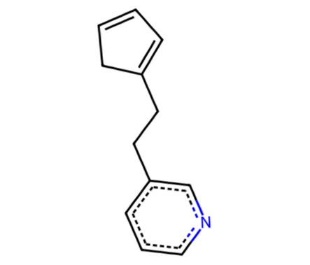 C1=CCC(CCc2cccnc2)=C1